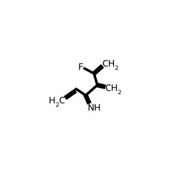 C=CC(=N)C(=C)C(=C)F